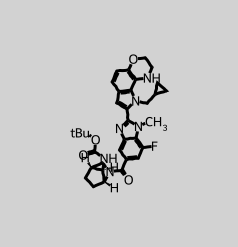 Cn1c(-c2cc3ccc4c(c3n2CC2CC2)NCCO4)nc2cc(C(=O)N3C[C@H]4CC[C@@H]3[C@@H]4NC(=O)OC(C)(C)C)cc(F)c21